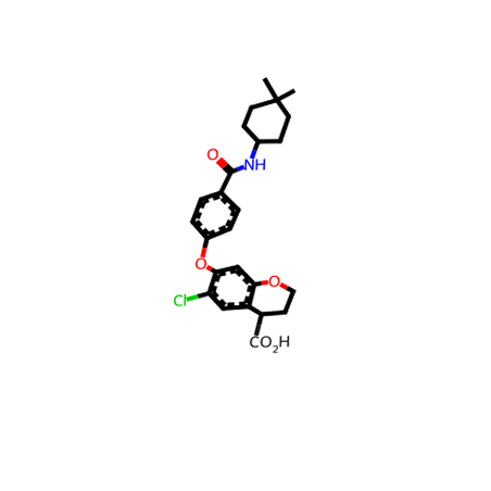 CC1(C)CCC(NC(=O)c2ccc(Oc3cc4c(cc3Cl)C(C(=O)O)CCO4)cc2)CC1